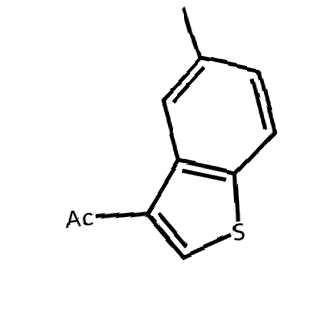 CC(=O)c1csc2ccc(C)cc12